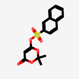 CC1(C)OC(=O)C=C(OS(=O)(=O)c2ccc3ccccc3c2)O1